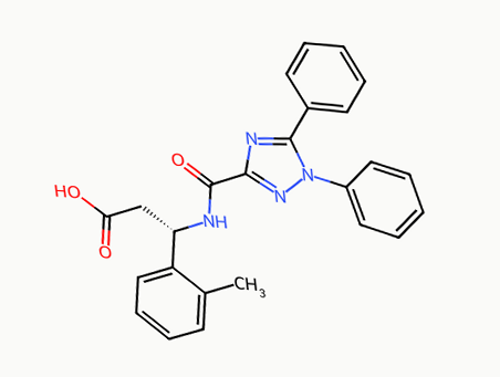 Cc1ccccc1[C@H](CC(=O)O)NC(=O)c1nc(-c2ccccc2)n(-c2ccccc2)n1